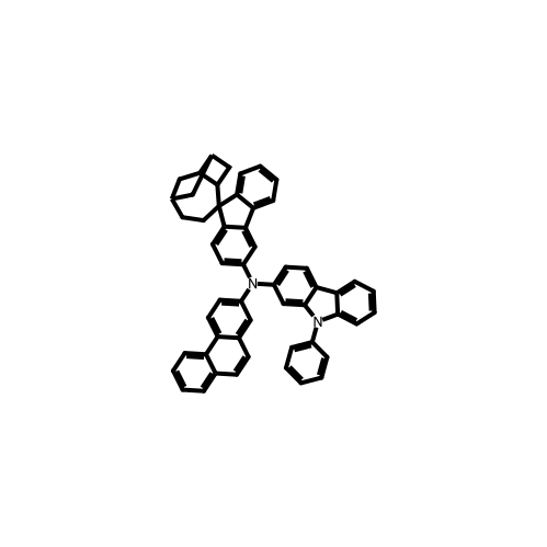 c1ccc(-n2c3ccccc3c3ccc(N(c4ccc5c(c4)-c4ccccc4C54CCC5CC6CC4C6C5)c4ccc5c(ccc6ccccc65)c4)cc32)cc1